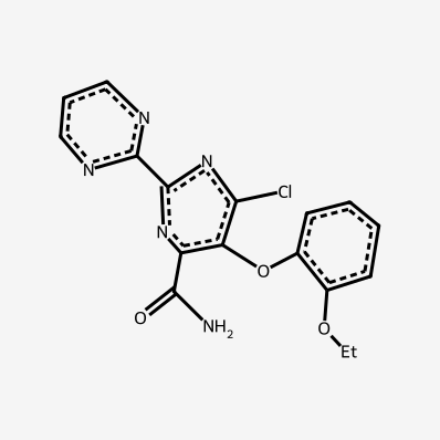 CCOc1ccccc1Oc1c(Cl)nc(-c2ncccn2)nc1C(N)=O